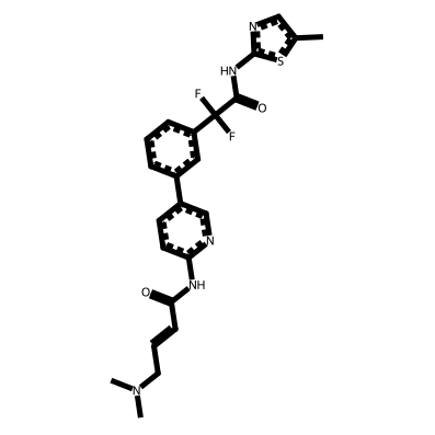 Cc1cnc(NC(=O)C(F)(F)c2cccc(-c3ccc(NC(=O)/C=C/CN(C)C)nc3)c2)s1